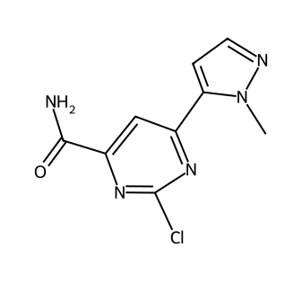 Cn1nccc1-c1cc(C(N)=O)nc(Cl)n1